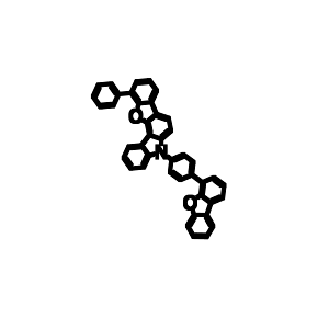 c1ccc(-c2cccc3c2oc2c3ccc3c2c2ccccc2n3-c2ccc(-c3cccc4c3oc3ccccc34)cc2)cc1